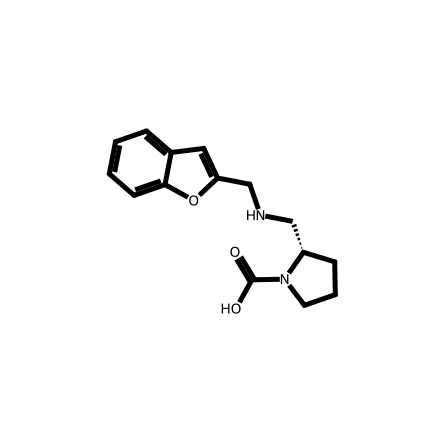 O=C(O)N1CCC[C@H]1CNCc1cc2ccccc2o1